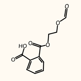 O=COCCOC(=O)c1ccccc1C(=O)O